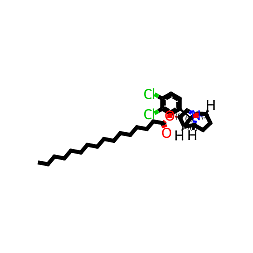 CCCCCCCCCCCCCCCC(=O)O[C@@H]1CN2[C@H]3CC[C@@H]2[C@@H]1[C@@H](c1ccc(Cl)c(Cl)c1)C3